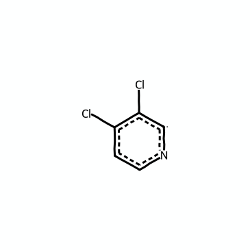 Clc1[c]nccc1Cl